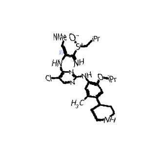 CN/C=C(/Nc1nc(Nc2cc(C)c(C3CCNCC3)cc2OC(C)C)ncc1Cl)C(=N)[S+]([O-])CC(C)C